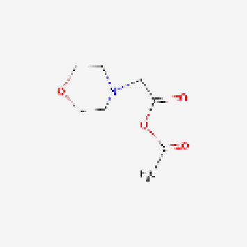 O=C(CN1CCOCC1)OC(=O)C(F)(F)F